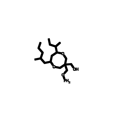 CCCC(C)CC1CC(C(C)CC)OCC(CO)(COP)CO1